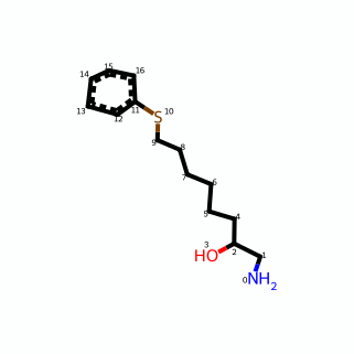 NCC(O)CCCCCCSc1ccccc1